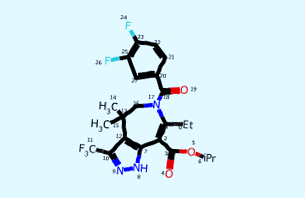 CCC1=C(C(=O)OC(C)C)c2[nH]nc(C(F)(F)F)c2C(C)(C)CN1C(=O)c1ccc(F)c(F)c1